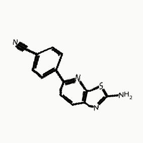 N#Cc1ccc(-c2ccc3nc(N)sc3n2)cc1